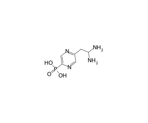 NC(N)Cc1cnc(P(=O)(O)O)cn1